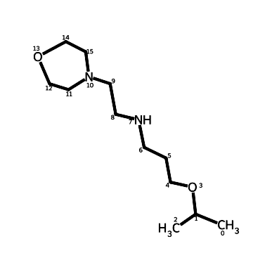 CC(C)OCCCNCCN1CCOCC1